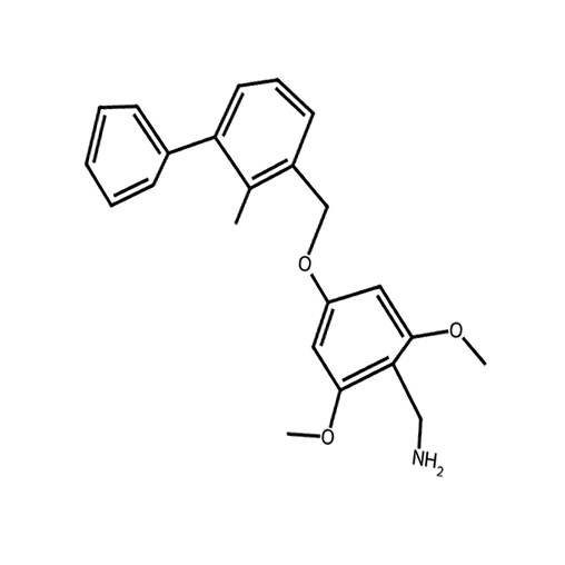 COc1cc(OCc2cccc(-c3ccccc3)c2C)cc(OC)c1CN